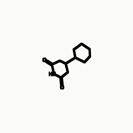 O=C1CC(C2CCCCC2)CC(=O)N1